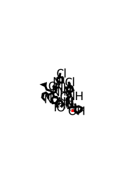 CC1([C@@]2(O)C[C@H](C(=O)Nc3cc(C(CCC4CC4)(NC(=O)Nc4ccc(Cl)cn4)c4ccccn4)ccc3F)N(C(=O)Nc3ccc(Cl)cn3)C2)C=CC=CC1